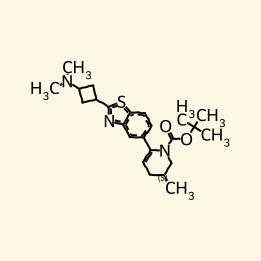 C[C@H]1CC=C(c2ccc3sc(C4CC(N(C)C)C4)nc3c2)N(C(=O)OC(C)(C)C)C1